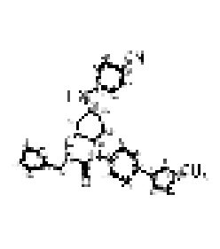 Cn1cc(-c2ccc(N(C(=O)NCc3ccco3)[C@H]3CC[C@H](Nc4ccc(C#N)cn4)CC3)cc2)cn1